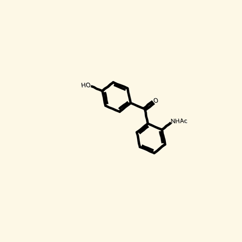 CC(=O)Nc1ccccc1C(=O)c1ccc(O)cc1